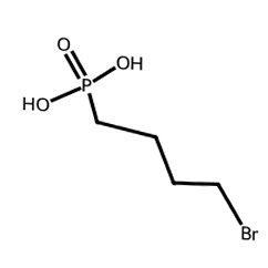 O=P(O)(O)CCCCBr